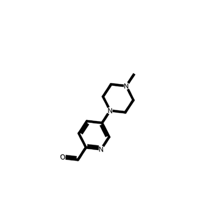 CN1CCN(c2ccc(C=O)nc2)CC1